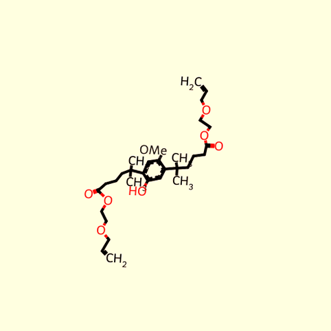 C=CCOCCOC(=O)CCCC(C)(C)c1cc(OC)c(C(C)(C)CCCC(=O)OCCOCC=C)cc1O